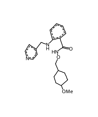 COC1CCC(CONC(=O)c2ccccc2NCc2ccncc2)CC1